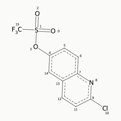 O=S(=O)(Oc1ccc2nc(Cl)ccc2c1)C(F)(F)F